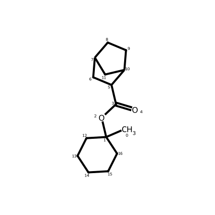 CC1(OC(=O)C2CC3CCC2C3)CCCCC1